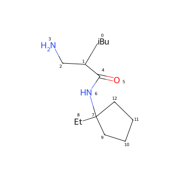 CCC(C)C(CN)C(=O)NC1(CC)CCCC1